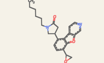 CCCCCCN1CC(c2ccc(C3CO3)c3oc4cnccc4c23)CC1=O